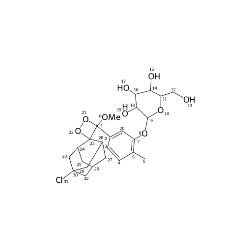 COC1(c2ccc(C)c(OC3OC(CO)C(O)C(O)C3O)c2)OOC12C1CC3CC2CC(Cl)(C3)C1